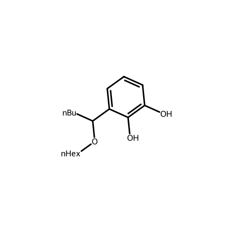 CCCCCCOC(CCCC)c1cccc(O)c1O